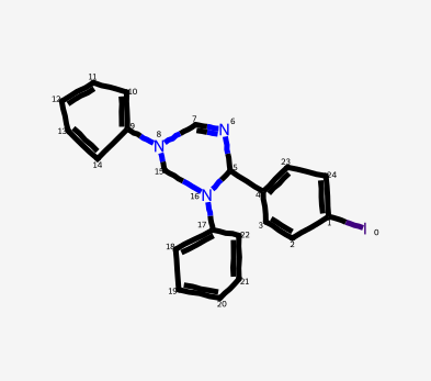 Ic1ccc(C2N=CN(c3ccccc3)CN2c2ccccc2)cc1